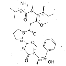 CC[C@H](C)[C@@H](C(CC(=O)N1CCC[C@H]1C(OC)[C@@H](C)C(=O)N[C@H](C)[C@@H](O)c1ccccc1)OC)N(C)C(=O)[C@@H](N)C(C)C